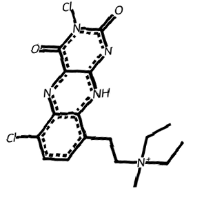 CC[N+](C)(CC)CCc1ccc(Cl)c2nc3c(=O)n(Cl)c(=O)nc-3[nH]c12